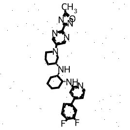 Cc1nc(-c2ncc(N3CCC[C@H](N[C@@H]4CCCC[C@H]4Nc4cc(-c5ccc(F)c(F)c5)ccn4)C3)cn2)no1